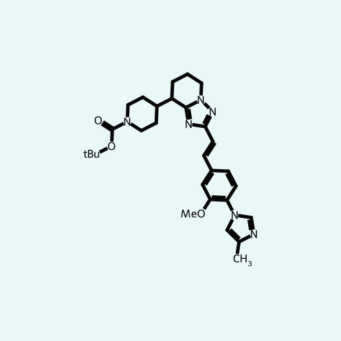 COc1cc(C=Cc2nc3n(n2)CCCC3C2CCN(C(=O)OC(C)(C)C)CC2)ccc1-n1cnc(C)c1